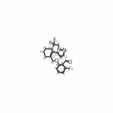 O=Cc1c(F)cccc1OCC1=C(c2ccnn2CC(F)(F)F)CCCC1